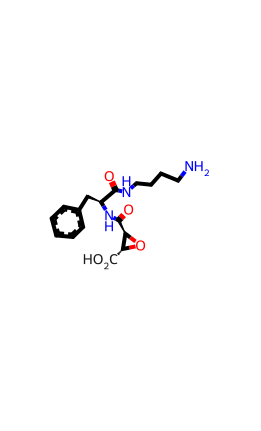 NCCCCNC(=O)[C@H](Cc1ccccc1)NC(=O)[C@H]1O[C@@H]1C(=O)O